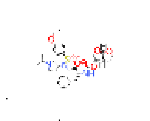 COc1ccc([S+]([O-])N(C[C@@H](O)[C@H](Cc2ccccc2)NC(=O)O[C@H]2CO[C@H]3OCC[C@H]32)C2CCN(C(C)C)C2)cc1